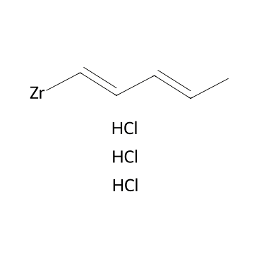 CC=CC=[CH][Zr].Cl.Cl.Cl